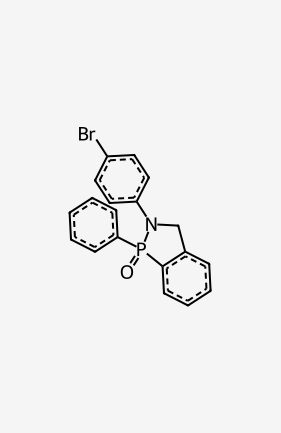 O=P1(c2ccccc2)c2ccccc2CN1c1ccc(Br)cc1